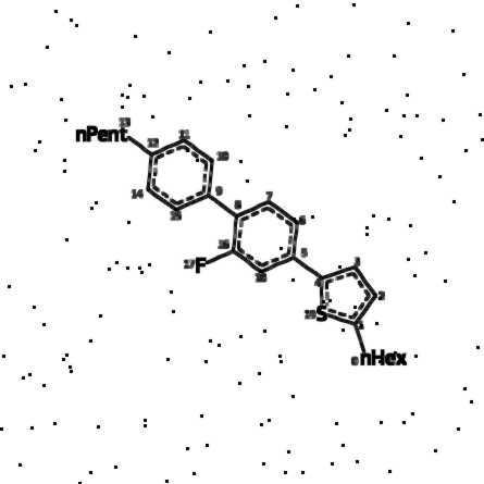 CCCCCCc1ccc(-c2ccc(-c3ccc(CCCCC)cc3)c(F)c2)s1